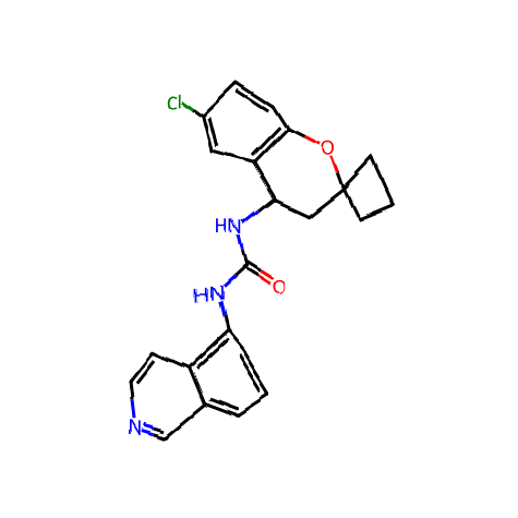 O=C(Nc1cccc2cnccc12)NC1CC2(CCC2)Oc2ccc(Cl)cc21